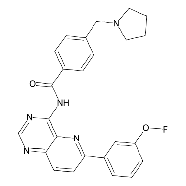 O=C(Nc1ncnc2ccc(-c3cccc(OF)c3)nc12)c1ccc(CN2CCCC2)cc1